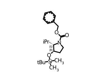 CC(C)[C@H]1[C@H](O[Si](C)(C)C(C)(C)C)CCN1C(=O)OCc1ccccc1